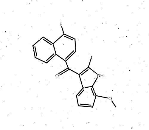 COc1cccc2c(C(=O)c3ccc(F)c4ccccc34)c(C)[nH]c12